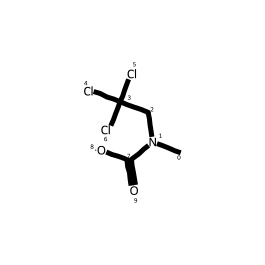 CN(CC(Cl)(Cl)Cl)C([O])=O